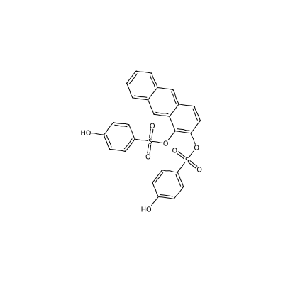 O=S(=O)(Oc1ccc2cc3ccccc3cc2c1OS(=O)(=O)c1ccc(O)cc1)c1ccc(O)cc1